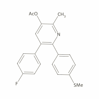 CSc1ccc(-c2nc(C)c(OC(C)=O)cc2-c2ccc(F)cc2)cc1